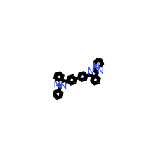 c1ccc(-c2nc(-c3ccc(-c4ccc(-c5nc6c(nc7ccccn76)c6ccccc56)cc4)cc3)c3ccccc3n2)cc1